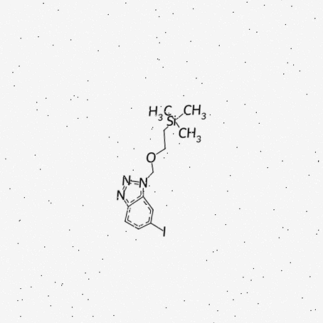 C[Si](C)(C)CCOCn1nnc2ccc(I)cc21